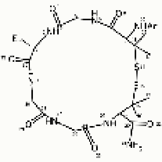 CC[C@@H]1NC(=O)CNC(=O)C(NC(C)=O)C(C)(C)SSC(C)(C)C(C(N)=O)NC(=O)CNC(=O)CNC1=O